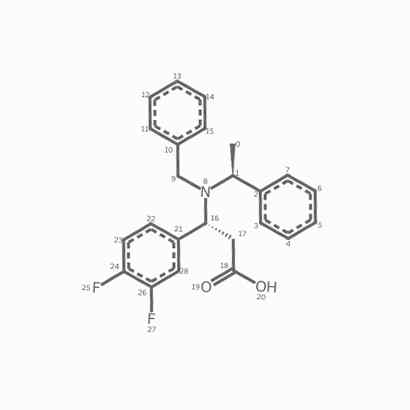 C[C@@H](c1ccccc1)N(Cc1ccccc1)[C@H](CC(=O)O)c1ccc(F)c(F)c1